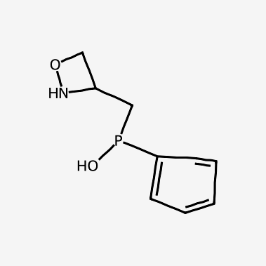 OP(CC1CON1)c1ccccc1